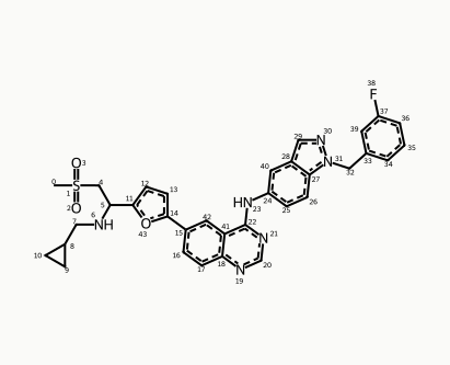 CS(=O)(=O)CC(NCC1CC1)c1ccc(-c2ccc3ncnc(Nc4ccc5c(cnn5Cc5cccc(F)c5)c4)c3c2)o1